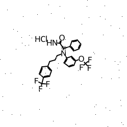 CNC(=O)[C@@H](c1ccccc1)N(CCCc1ccc(C(F)(F)F)cc1)c1cccc(OC(F)(F)F)c1.Cl